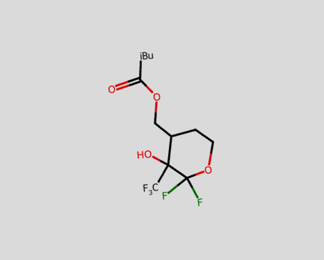 CCC(C)C(=O)OCC1CCOC(F)(F)C1(O)C(F)(F)F